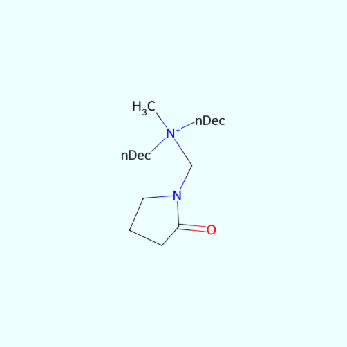 CCCCCCCCCC[N+](C)(CCCCCCCCCC)CN1CCCC1=O